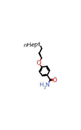 CCCCCCCCCCOc1ccc(C(N)=O)cc1